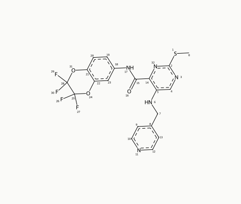 CSc1ncc(NCc2ccncc2)c(C(=O)Nc2ccc3c(c2)OC(F)(F)C(F)(F)O3)n1